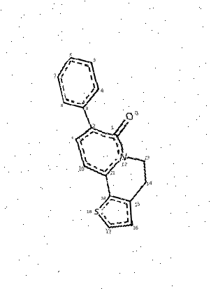 O=c1c(-c2ccccc2)ccc2n1CCc1ccsc1-2